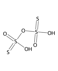 O=S(O)(=S)OS(=O)(O)=S